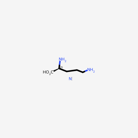 NCCC[C@H](N)C(=O)O.[N]